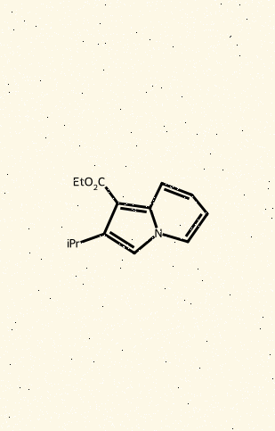 CCOC(=O)c1c(C(C)C)cn2ccccc12